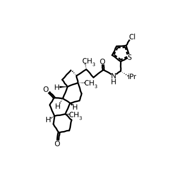 CC(C)[C@H](NC(=O)C[C@@H](C)[C@H]1CC[C@H]2[C@@H]3C(=O)C[C@@H]4CC(=O)CC[C@]4(C)[C@H]3CC[C@]12C)c1ccc(Cl)s1